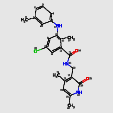 Cc1cccc(Nc2cc(Cl)cc(C(=O)NCc3c(C)cc(C)[nH]c3=O)c2C)c1